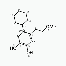 COCCC1=NC(O)=C(O)CN1C1CCCCC1